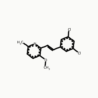 COc1ccc(C)nc1C=Cc1cc(Cl)cc(Cl)c1